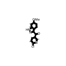 COc1ccc2c(C(=O)c3ccc(Cl)nc3)n[nH]c2c1